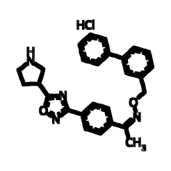 CC(=NOCc1cccc(-c2ccccc2)c1)c1ccc(-c2noc(C3CCNC3)n2)cc1.Cl